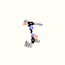 COc1cc(/C=N/CCC/N=C/c2cc(OC)cc(C(C)(C)C)c2O)c(O)c(C(C)(C)C)c1